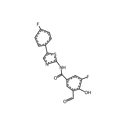 O=Cc1cc(C(=O)Nc2ncc(-c3ccc(F)cc3)s2)cc(F)c1O